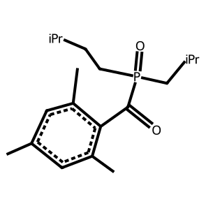 Cc1cc(C)c(C(=O)P(=O)(CCC(C)C)CC(C)C)c(C)c1